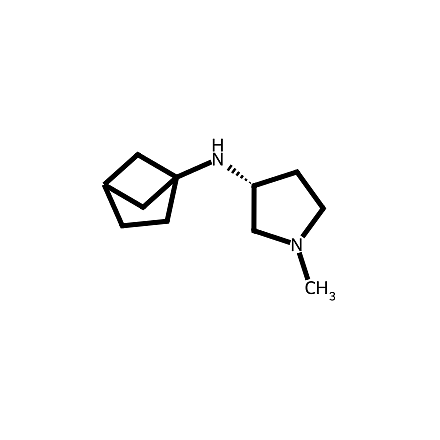 CN1CC[C@@H](NC23CCC(C2)C3)C1